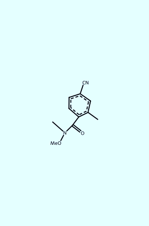 CON(C)C(=O)c1ccc(C#N)cc1C